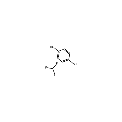 FC(F)F.Oc1ccc(S)cc1